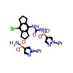 CC(C)n1cc(S(=O)(=O)NC(=O)Nc2c3c(c(Br)c4c2CCC4)CCC3)cn1.CC(C)n1cc(S(N)(=O)=O)cn1